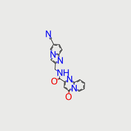 N#Cc1ccc2nc(CNC(=O)c3cc(=O)n4ccccc4n3)cn2c1